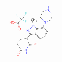 Cn1nc(C2CCC(=O)NC2=O)c2cccc(N3CCNCC3)c21.O=C(O)C(F)(F)F